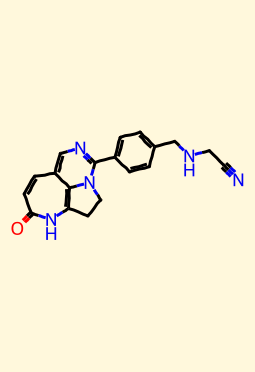 N#CCNCc1ccc(C2=NC=C3C=CC(=O)NC4=C3N2CC4)cc1